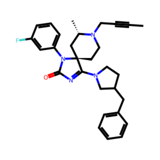 CC#CCN1CC[C@@]2(C[C@@H]1C)C(N1CCC(Cc3ccccc3)C1)=NC(=O)N2c1cccc(F)c1